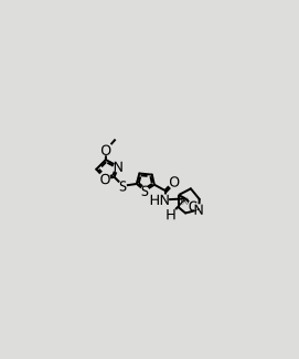 COc1coc(Sc2ccc(C(=O)N[C@H]3CN4CCC3CC4)s2)n1